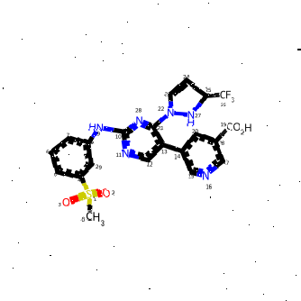 CS(=O)(=O)c1cccc(Nc2ncc(-c3cncc(C(=O)O)c3)c(N3C=CC(C(F)(F)F)N3)n2)c1